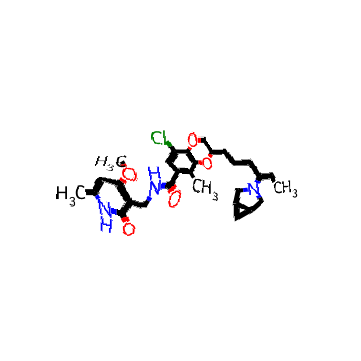 CCC(CCCC1COc2c(Cl)cc(C(=O)NCc3c(OC)cc(C)[nH]c3=O)c(C)c2O1)N1CC2CC2C1